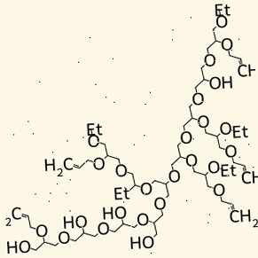 C=CCOCC(COC(COCC(O)COCC(COCC)OCC=C)COCC(COC(COCC(CO)OCC(O)COCC(O)COCC(CO)OCC=C)COC(CC)COCC(COCC)OCC=C)OCC(COCC=C)OCC)OCC